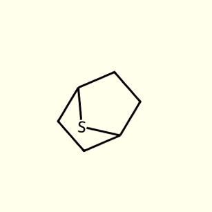 C1CC2CCC1S2